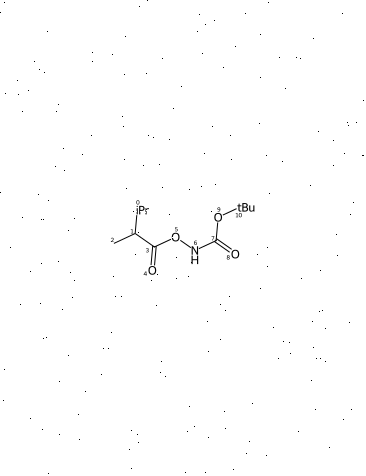 CC(C)C(C)C(=O)ONC(=O)OC(C)(C)C